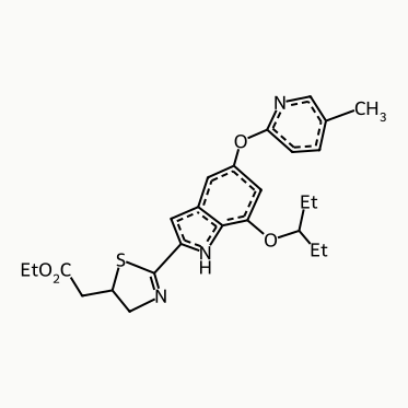 CCOC(=O)CC1CN=C(c2cc3cc(Oc4ccc(C)cn4)cc(OC(CC)CC)c3[nH]2)S1